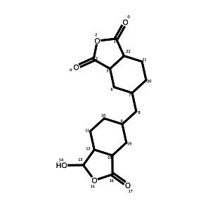 O=C1OC(=O)C2CC(CC3CCC4C(O)OC(=O)C4C3)CCC12